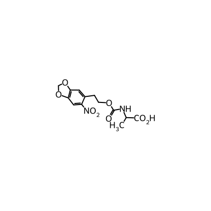 CC(NC(=O)OCCc1cc2c(cc1[N+](=O)[O-])OCO2)C(=O)O